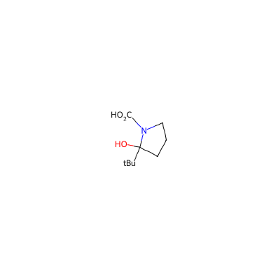 CC(C)(C)C1(O)CCCN1C(=O)O